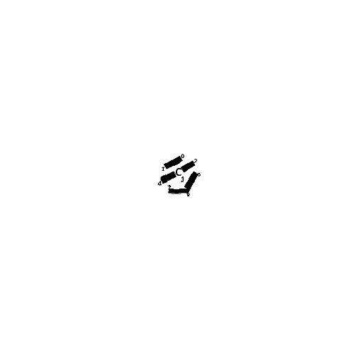 C=C.C=C=C.C=CC